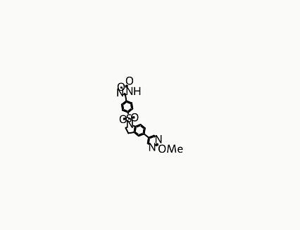 COc1ncc(-c2ccc3c(c2)CCN3S(=O)(=O)c2ccc(-c3noc(=O)[nH]3)cc2)cn1